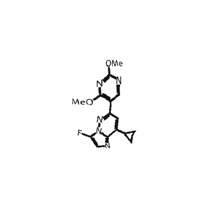 COc1ncc(-c2cc(C3CC3)c3ncc(F)n3n2)c(OC)n1